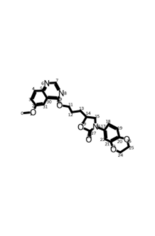 COc1ccc2ncnc(OCCCC3CN(c4ccc5c(c4)OCCO5)C(=O)O3)c2c1